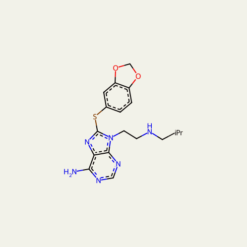 CC(C)CNCCn1c(Sc2ccc3c(c2)OCO3)nc2c(N)ncnc21